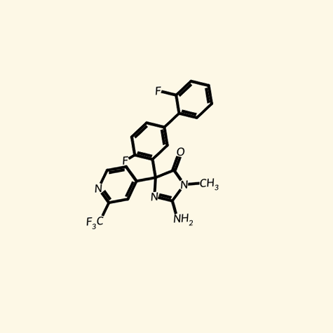 CN1C(=O)C(c2ccnc(C(F)(F)F)c2)(c2cc(-c3ccccc3F)ccc2F)N=C1N